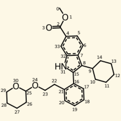 COC(=O)c1ccc2c(C3CCCCC3)c(-c3ccccc3CCOC3CCCCO3)[nH]c2c1